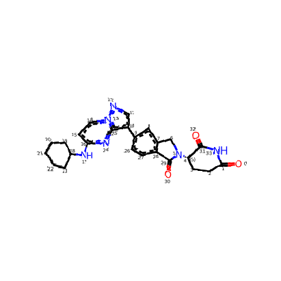 O=C1CC[C@H](N2Cc3cc(-c4cnn5ccc(NC6CCCCC6)nc45)ccc3C2=O)C(=O)N1